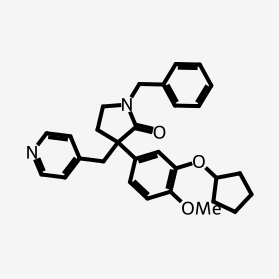 COc1ccc(C2(Cc3ccncc3)CCN(Cc3ccccc3)C2=O)cc1OC1CCCC1